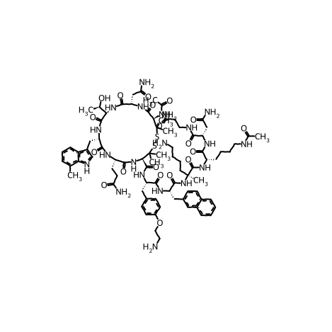 CC(=O)NCCCC[C@H](NC(=O)[C@](C)(CCCCN)NC(=O)[C@H](Cc1ccc2ccccc2c1)NC(=O)[C@H](Cc1ccc(OCCN)cc1)NC(=O)[C@H]1NC(=O)[C@H](CCC(N)=O)NC(=O)[C@H](Cc2c[nH]c3c(C)cccc23)NC(=O)[C@H]([C@@H](C)O)NC(=O)[C@H](CC(N)=O)NC(=O)[C@@H](NC(C)=O)C(C)(C)SSC1(C)C)C(=O)N[C@@H](CC(N)=O)C(=O)NCCC(N)=O